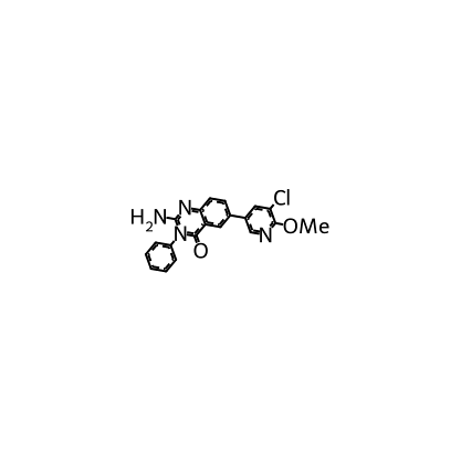 COc1ncc(-c2ccc3nc(N)n(-c4ccccc4)c(=O)c3c2)cc1Cl